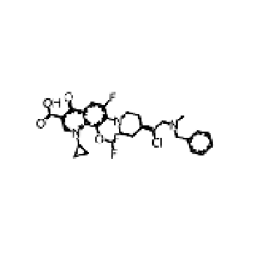 CN(CC(Cl)=C1CCN(c2c(F)cc3c(=O)c(C(=O)O)cn(C4CC4)c3c2OC(F)F)CC1)Cc1ccccc1